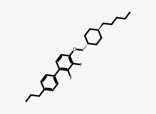 CCCCC[C@H]1CC[C@H](COc2ccc(-c3ccc(CCC)cc3)c(F)c2F)CC1